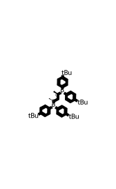 C[C@H](C[C@@H](C)P(c1ccc(C(C)(C)C)cc1)c1ccc(C(C)(C)C)cc1)P(c1ccc(C(C)(C)C)cc1)c1ccc(C(C)(C)C)cc1